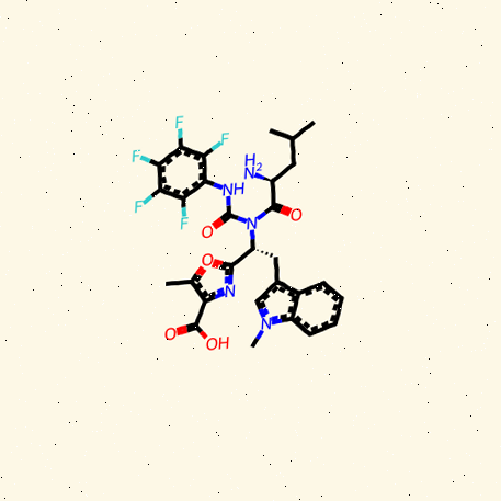 Cc1oc([C@@H](Cc2cn(C)c3ccccc23)N(C(=O)Nc2c(F)c(F)c(F)c(F)c2F)C(=O)[C@@H](N)CC(C)C)nc1C(=O)O